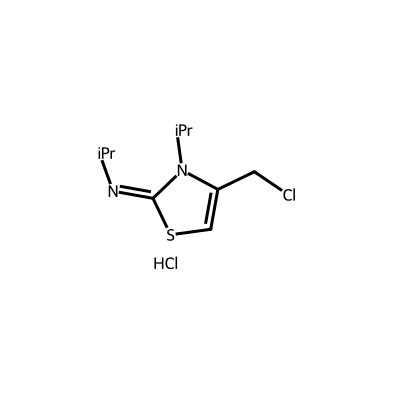 CC(C)N=c1scc(CCl)n1C(C)C.Cl